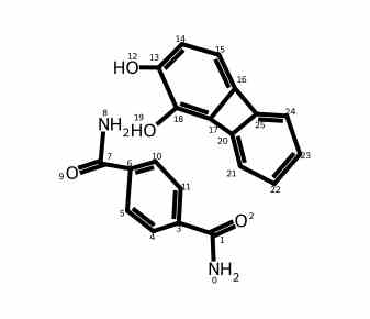 NC(=O)c1ccc(C(N)=O)cc1.Oc1ccc2c(c1O)-c1ccccc1-2